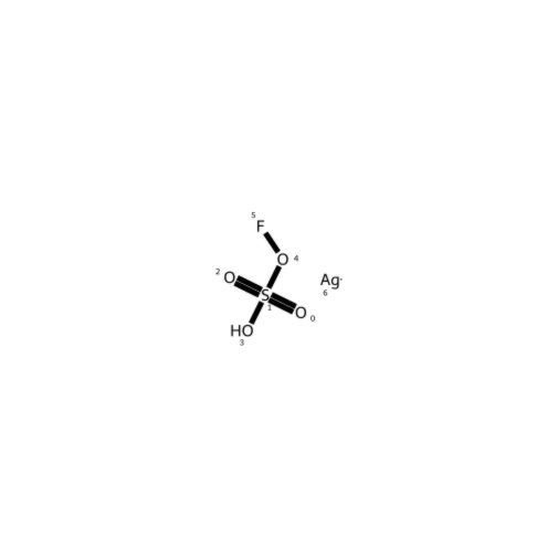 O=S(=O)(O)OF.[Ag]